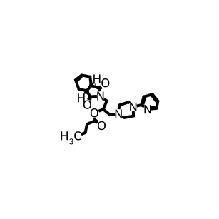 CCCC(=O)OC(CN1CCN(c2ccccn2)CC1)CN1C(=O)[C@H]2CC=CC[C@H]2C1=O